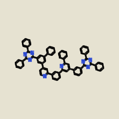 c1ccc(-c2cc(-c3ccnc(-c4cccc(-c5cc(-c6cccc(-c7nc(-c8ccccc8)nc(-c8ccccc8)n7)c6)cc(-c6ccccc6)n5)c4)c3)cc(-c3nc(-c4ccccc4)nc(-c4ccccc4)n3)c2)cc1